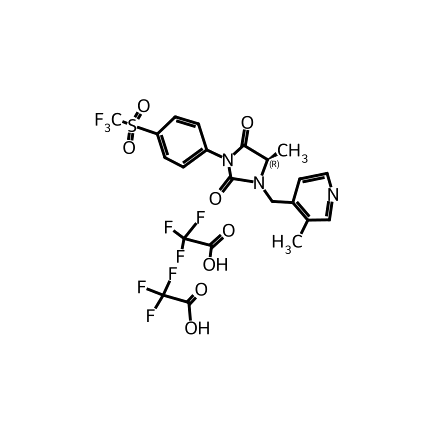 Cc1cnccc1CN1C(=O)N(c2ccc(S(=O)(=O)C(F)(F)F)cc2)C(=O)[C@H]1C.O=C(O)C(F)(F)F.O=C(O)C(F)(F)F